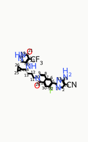 N#Cc1cnc(-c2cc3ccn(CCC[C@@H](Nc4cn[nH]c(=O)c4C(F)(F)F)C4CC4)c(=O)c3cc2F)nc1N